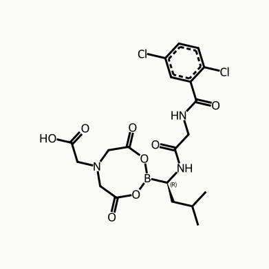 CC(C)C[C@H](NC(=O)CNC(=O)c1cc(Cl)ccc1Cl)B1OC(=O)CN(CC(=O)O)CC(=O)O1